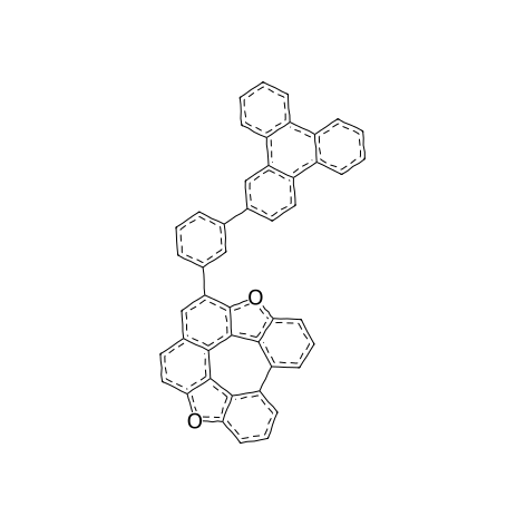 c1cc(-c2ccc3c4ccccc4c4ccccc4c3c2)cc(-c2cc3ccc4oc5cccc6c5c4c3c3c2oc2cccc-6c23)c1